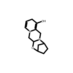 OC1=C2CN3C4CCC(C4)OC3CN2C=CC1